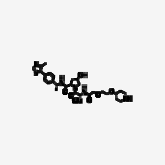 Cc1ncsc1-c1ccc([C@H](C)NC(=O)C2CC(O)CN2C(=O)[C@@H](NC(=O)COCCOC2CCNCC2)C(C)(C)C)cc1